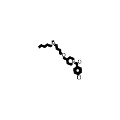 CCCCCN(C)CCCCOCC1CCN(C(=O)c2ccc(Cl)cc2)CC1